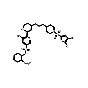 O=C(O)C1CCCCC1NS(=O)(=O)c1cnc(C2CC(CCCC3CCN(S(=O)(=O)c4cc(Br)c(Cl)s4)CC3)CCN2)c(Br)c1